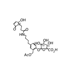 CC(=O)OCc1cc(CCCCNC(=O)CCN2C(=O)C=CC2O)ccc1O[C@@H]1O[C@H](C(=O)O)[C@@H](O)[C@H](O)[C@H]1O